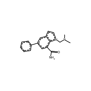 CN(C)Cn1ccc2cc(-c3ccccc3)cc(C(N)=O)c21